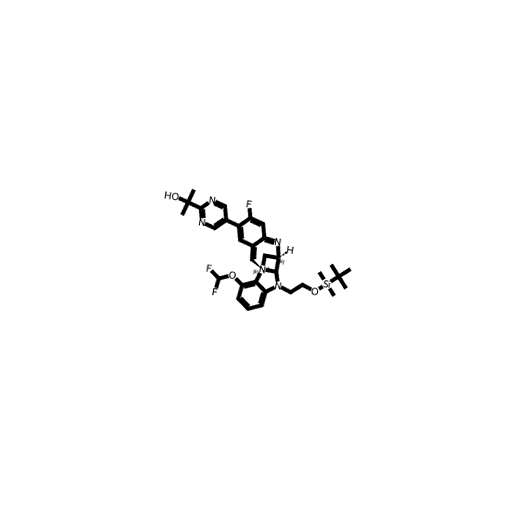 CC(C)(O)c1ncc(-c2cc3c(cc2F)=N[C@@H]2C[N@@+]4(C=3)c3c(OC(F)F)cccc3N(CCO[Si](C)(C)C(C)(C)C)C24)cn1